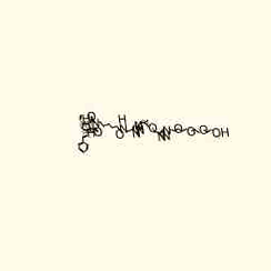 C=C[C@H]1C[C@@H](C=Cc2ccccc2)[C@H]2C(=O)N(CCCCCC(=O)NCc3cn(C[C@@H](C)COCc4cn(CCOCCOCCOCCO)nn4)nn3)C(=O)[C@H]21